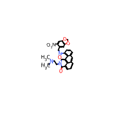 CN(C)CCN1C(=O)c2cccc3cc4cccc(/N=C\c5cc6c(cc5[N+](=O)[O-])OCO6)c4c(c23)C1=O